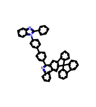 c1ccc(-c2nc3ccccc3n2-c2ccc(-c3ccc(-c4nc5ccccc5c5cc6c(cc45)-c4ccccc4C64c5ccccc5-c5ccccc54)cc3)cc2)cc1